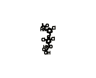 CC(C)C(=O)Nc1cc(Cl)cc(COc2c(Cl)cc(C(=O)NCC(=O)O)cc2Cl)c1